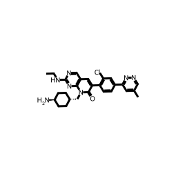 CCNc1ncc2cc(-c3ccc(-c4cc(C)cnn4)cc3Cl)c(=O)n(C[C@H]3CC[C@H](N)CC3)c2n1